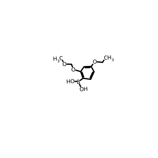 CCOc1ccc(B(O)O)c(OCOC)c1